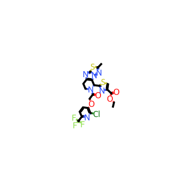 CCOC(=O)c1csc(C2c3c(nc4sc(C)nn34)CCN2C(=O)COc2ccc(C(F)(F)F)nc2Cl)n1